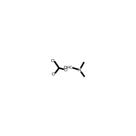 CN(C)C=O.ClC(Cl)Cl